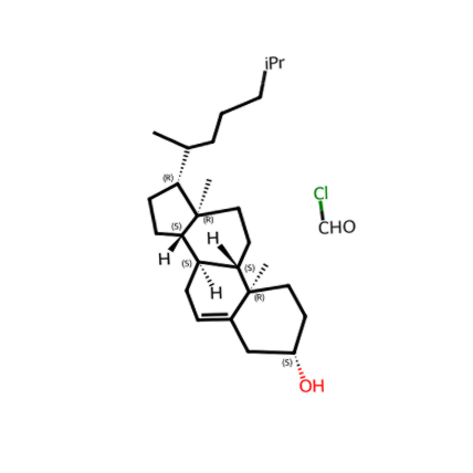 CC(C)CCCC(C)[C@H]1CC[C@H]2[C@@H]3CC=C4C[C@@H](O)CC[C@]4(C)[C@H]3CC[C@]12C.O=CCl